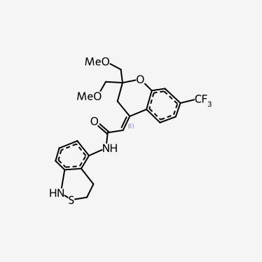 COCC1(COC)C/C(=C\C(=O)Nc2cccc3c2CCSN3)c2ccc(C(F)(F)F)cc2O1